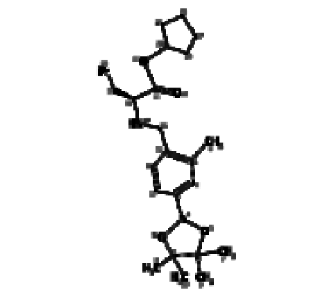 Cc1cc(B2OC(C)(C)C(C)(C)O2)ccc1CN[C@@H](CC(C)C)C(=O)OC1CCCC1